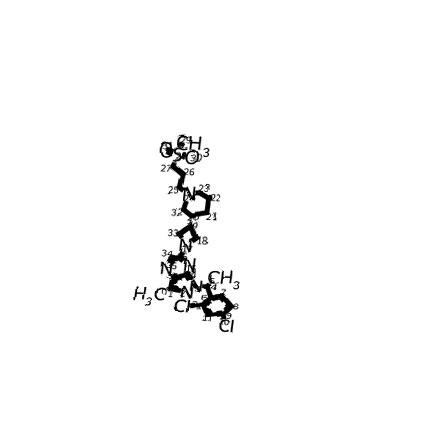 Cc1nn(C(C)c2ccc(Cl)cc2Cl)c2nc(N3CC([C@H]4CCCN(CCCS(C)(=O)=O)C4)C3)cnc12